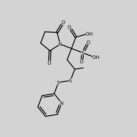 CC(CC(C(=O)O)(N1C(=O)CCC1=O)S(=O)(=O)O)SSc1ccccn1